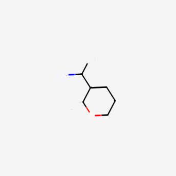 CC(N)C1CCCOC1.Cl